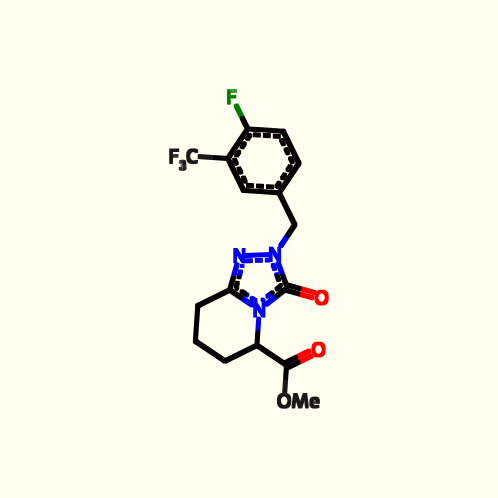 COC(=O)C1CCCc2nn(Cc3ccc(F)c(C(F)(F)F)c3)c(=O)n21